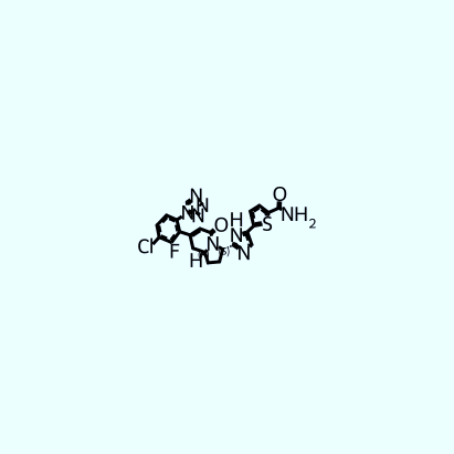 NC(=O)c1ccc(-c2cnc([C@@H]3CC[C@@H]4CC(c5c(-n6cnnn6)ccc(Cl)c5F)=CC(=O)N43)[nH]2)s1